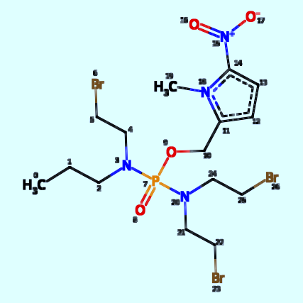 CCCN(CCBr)P(=O)(OCc1ccc([N+](=O)[O-])n1C)N(CCBr)CCBr